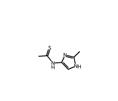 CC(=S)Nc1c[nH]c(C)n1